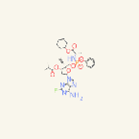 C#C[C@]1(CO[P@@](=O)(N[C@@H](C)C(=O)OC2CCCCC2)Oc2ccccc2)O[C@@H](n2cnc3c(N)nc(F)nc32)C[C@@H]1OC(=O)C(C)C